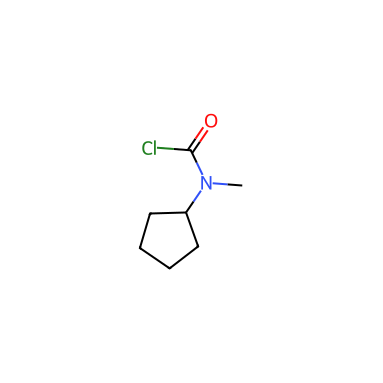 CN(C(=O)Cl)C1CCCC1